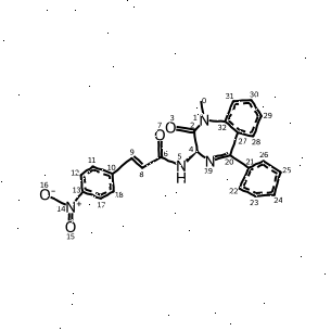 CN1C(=O)[C@H](NC(=O)C=Cc2ccc([N+](=O)[O-])cc2)N=C(c2ccccc2)c2ccccc21